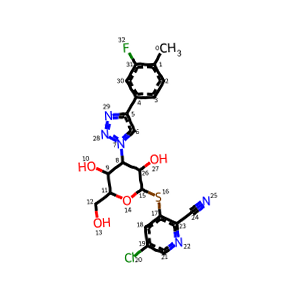 Cc1ccc(-c2cn(C3C(O)C(CO)OC(Sc4cc(Cl)cnc4C#N)C3O)nn2)cc1F